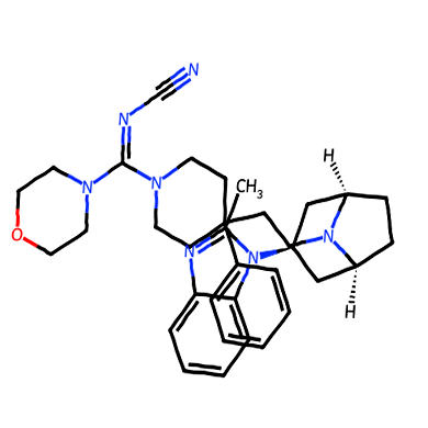 Cc1nc2ccccc2n1[C@H]1C[C@H]2CC[C@@H](C1)N2CCC1(c2ccccc2)CCN(/C(=N\C#N)N2CCOCC2)CC1